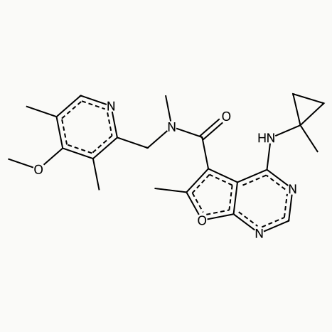 COc1c(C)cnc(CN(C)C(=O)c2c(C)oc3ncnc(NC4(C)CC4)c23)c1C